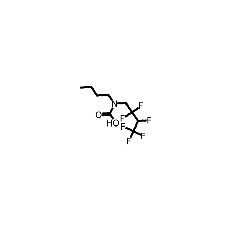 CCCCN(CC(F)(F)C(F)C(F)(F)F)C(=O)O